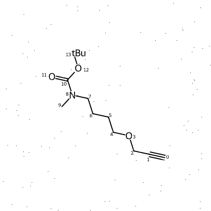 C#CCOCCCCN(C)C(=O)OC(C)(C)C